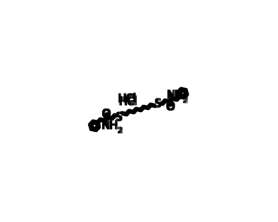 Cl.Cl.NC(Cc1ccccc1)C(=O)CCSCCCCCCCCCCSCCC(=O)C(N)Cc1ccccc1